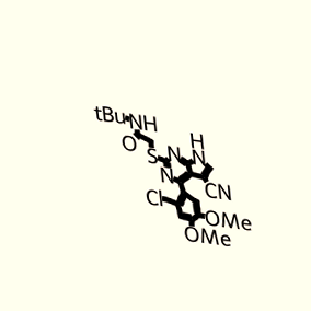 COc1cc(Cl)c(-c2nc(SCC(=O)NC(C)(C)C)nc3[nH]cc(C#N)c23)cc1OC